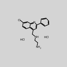 Cl.Cl.NCCNCc1cc(-c2ccccc2)nc2cc(Cl)ccc12